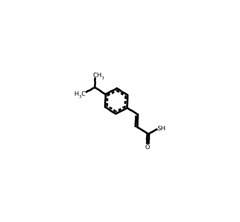 CC(C)c1ccc(/C=C/C(=O)S)cc1